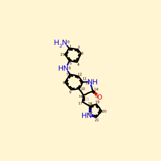 Nc1cccc(Nc2ccc3c(c2)NC(=O)/C3=C\c2ccc[nH]2)c1